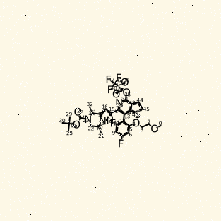 COCCOc1cc(F)cc(F)c1-c1c(-c2cc3n(n2)[C@@H](C)CN(C(=O)OC(C)(C)C)[C@H]3C)nc(OS(=O)(=O)C(F)(F)F)c2ccsc12